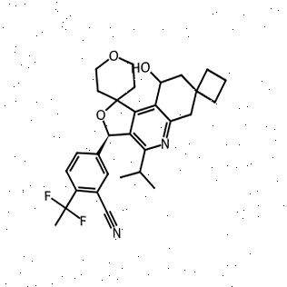 CC(C)c1nc2c(c3c1[C@@H](c1ccc(C(C)(F)F)c(C#N)c1)OC31CCOCC1)C(O)CC1(CCC1)C2